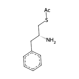 CC(=O)SC[C@H](N)Cc1ccccc1